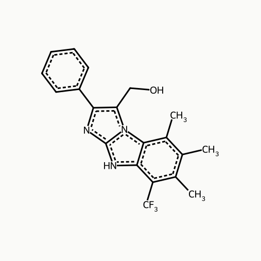 Cc1c(C)c(C)c2c([nH]c3nc(-c4ccccc4)c(CO)n32)c1C(F)(F)F